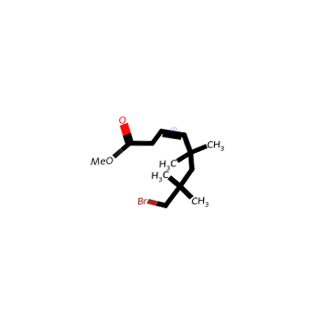 COC(=O)C/C=C\C(C)(C)CC(C)(C)CBr